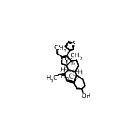 CCC1=C(c2ccsc2)[C@@]2(C)CC[C@@H]3[C@@H](C(CC)C=C4CC(O)CC[C@@]43C)[C@@H]2C1